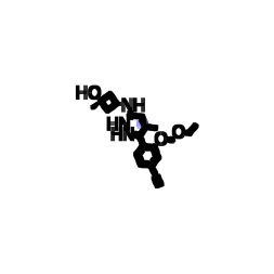 C#Cc1ccc(C(=N)/C(C)=C\C(=N)N[C@H]2C[C@@](C)(O)C2)c(OCOCC)c1